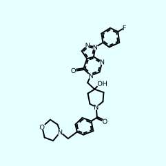 O=C(c1ccc(CN2CCOCC2)cc1)N1CCC(O)(Cn2cnc3c(cnn3-c3ccc(F)cc3)c2=O)CC1